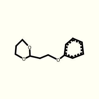 [c]1cccc(OCCC2OCCCO2)c1